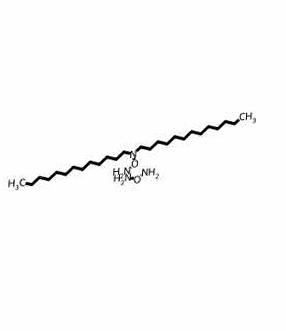 CCCCCCCCCCCCCN(CCCCCCCCCCCCC)ON.NON